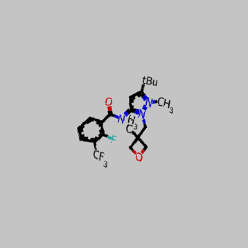 Cn1c(C(C)(C)C)cc(=NC(=O)c2cccc(C(F)(F)F)c2F)n1CC1(C)COC1